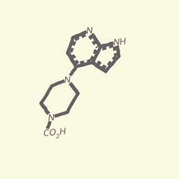 O=C(O)N1CCN(c2ccnc3[nH]ccc23)CC1